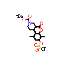 Cc1c(OS(=O)(=O)C(F)(F)F)cc(C)c2c3c(c(=O)oc12)CN(C(=O)OC(C)(C)C)CC3